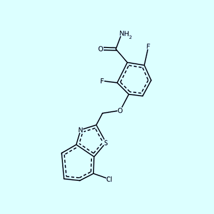 NC(=O)c1c(F)ccc(OCc2nc3cccc(Cl)c3s2)c1F